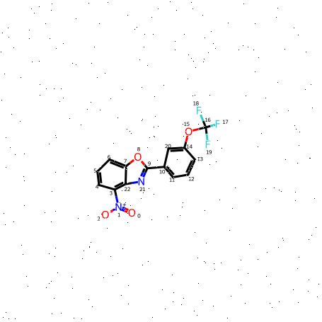 O=[N+]([O-])c1cccc2oc(-c3cccc(OC(F)(F)F)c3)nc12